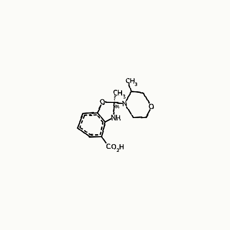 CC1COCCN1[C@@]1(C)Nc2c(cccc2C(=O)O)O1